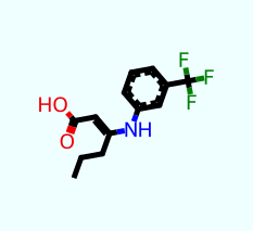 CCCC(=CC(=O)O)Nc1cccc(C(F)(F)F)c1